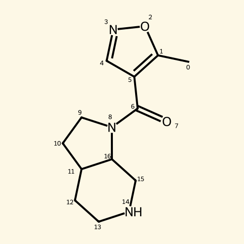 Cc1oncc1C(=O)N1CCC2CCNCC21